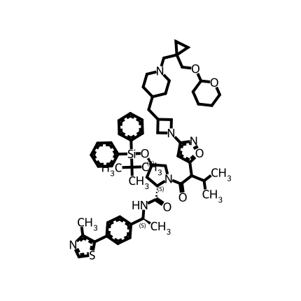 Cc1ncsc1-c1ccc([C@H](C)NC(=O)[C@@H]2C[C@@H](O[Si](c3ccccc3)(c3ccccc3)C(C)(C)C)CN2C(=O)C(c2cc(N3CC(CC4CCN(CC5(COC6CCCCO6)CC5)CC4)C3)no2)C(C)C)cc1